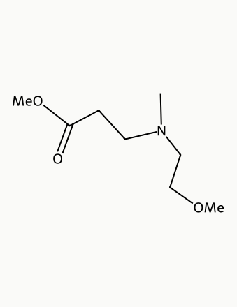 COCCN(C)CCC(=O)OC